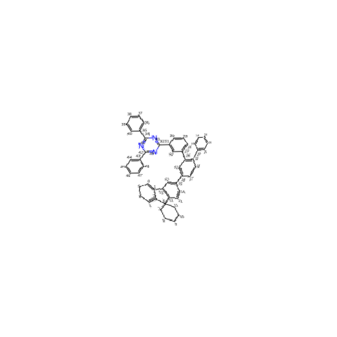 C1=C2C(=CCC1)C1(CCCCC1)c1ccc(-c3ccc(-c4ccccc4)c(-c4cccc(-c5nc(-c6ccccc6)nc(-c6ccccc6)n5)c4)c3)cc12